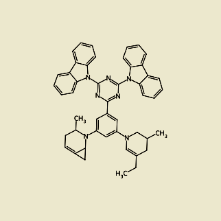 CCC1=CN(c2cc(-c3nc(-n4c5ccccc5c5ccccc54)nc(-n4c5ccccc5c5ccccc54)n3)cc(N3C(C)CC=C4CC43)c2)CC(C)C1